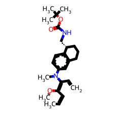 C=C/C(=C(\C=C/C)OC)N(C)c1ccc2c(c1)CCC[C@H]2CNC(=O)OC(C)(C)C